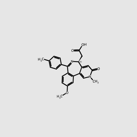 COc1ccc2c(c1)-c1cn(C)c(=O)cc1[C@H](CC(=O)O)N=C2c1ccc(C)cc1